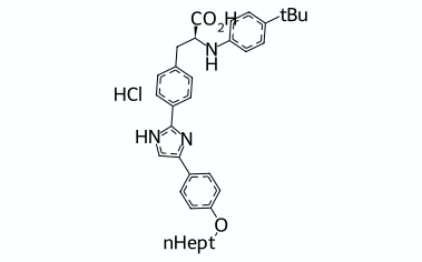 CCCCCCCOc1ccc(-c2c[nH]c(-c3ccc(C[C@H](Nc4ccc(C(C)(C)C)cc4)C(=O)O)cc3)n2)cc1.Cl